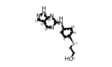 OCCSc1ccc(Nc2ncc3cn[nH]c3n2)cc1